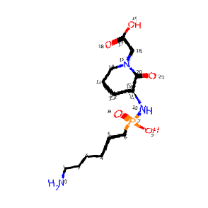 NCCCCCCP(=O)(O)N[C@H]1CCCN(CC(=O)O)C1=O